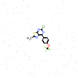 Cc1nc2c(-c3ccc(OC(F)(F)F)cc3)nc(Cl)nc2s1